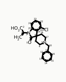 C=C(C(=O)O)N1C(=O)C2(CCN(Cc3ccccc3)CC2)c2c(Cl)cccc21